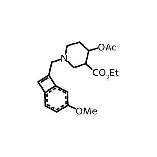 CCOC(=O)C1CN(CC2=Cc3ccc(OC)cc32)CCC1OC(C)=O